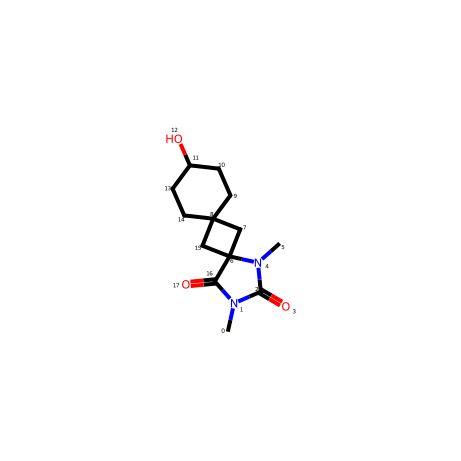 CN1C(=O)N(C)C2(CC3(CCC(O)CC3)C2)C1=O